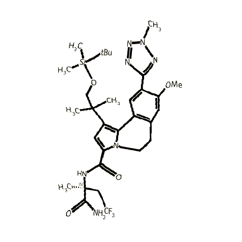 COc1cc2c(cc1-c1nnn(C)n1)-c1c(C(C)(C)CO[Si](C)(C)C(C)(C)C)cc(C(=O)N[C@@](C)(CC(F)(F)F)C(N)=O)n1CC2